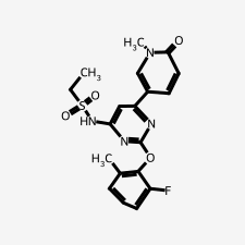 CCS(=O)(=O)Nc1cc(-c2ccc(=O)n(C)c2)nc(Oc2c(C)cccc2F)n1